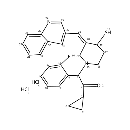 Cl.Cl.O=C(C1CC1)C(c1ccccc1F)N1CCC(S)C(=Cc2cnc3ccccc3c2)C1